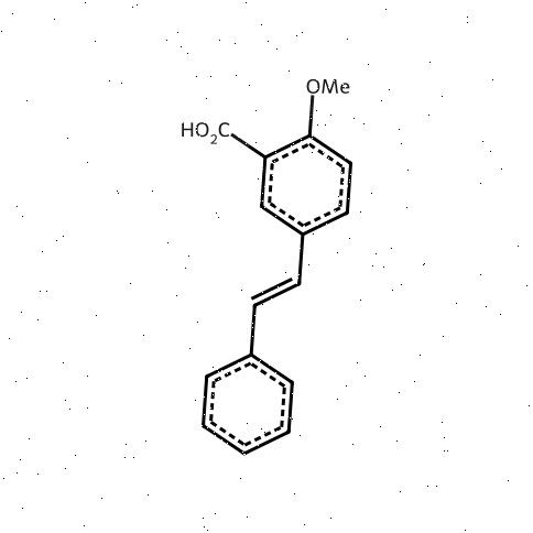 COc1ccc(C=Cc2ccccc2)cc1C(=O)O